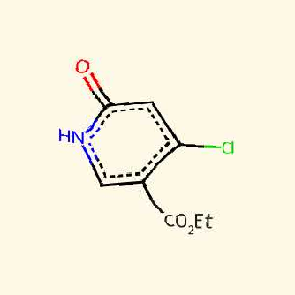 CCOC(=O)c1c[nH]c(=O)cc1Cl